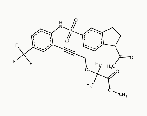 COC(=O)C(C)(C)OCC#Cc1cc(C(F)(F)F)ccc1NS(=O)(=O)c1ccc2c(c1)CCN2C(C)=O